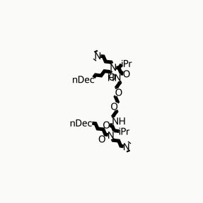 CCCCCCCCCCCCCC(=O)N(CCCN(C)C)C(C(=O)NCCOCCOCCNC(=O)C(C(C)C)N(CCCN(C)C)C(=O)CCCCCCCCCCCCC)C(C)C